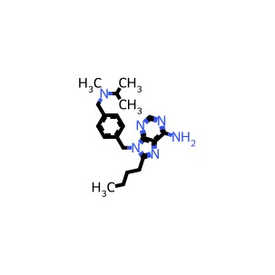 CCCCc1nc2c(N)ncnc2n1Cc1ccc(CN(C)C(C)C)cc1